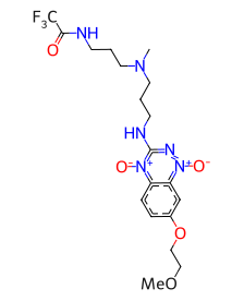 COCCOc1ccc2c(c1)[n+]([O-])nc(NCCCN(C)CCCNC(=O)C(F)(F)F)[n+]2[O-]